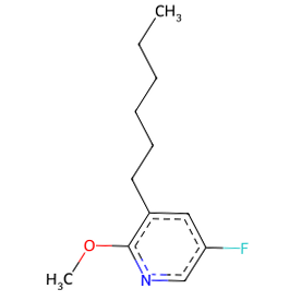 CCCCCCc1cc(F)cnc1OC